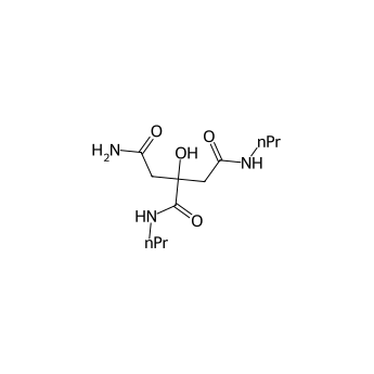 CCCNC(=O)CC(O)(CC(N)=O)C(=O)NCCC